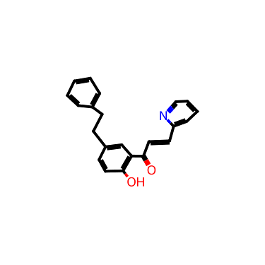 O=C(C=Cc1ccccn1)c1cc(CCc2ccccc2)ccc1O